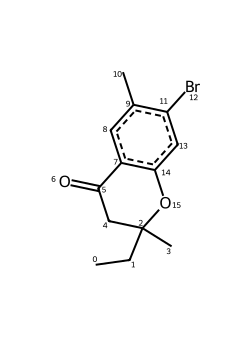 CCC1(C)CC(=O)c2cc(C)c(Br)cc2O1